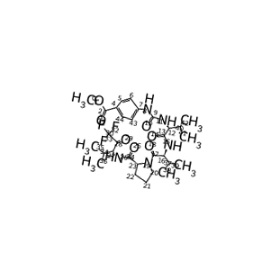 COC(=O)c1ccc(NC(=O)N[C@H](C(=O)N[C@H](C(=O)N2CCC[C@H]2C(=O)NC(C(=O)C(F)(F)F)C(C)C)C(C)C)C(C)C)cc1